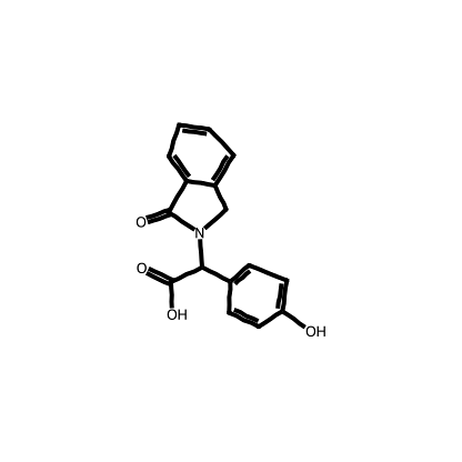 O=C(O)C(c1ccc(O)cc1)N1Cc2ccccc2C1=O